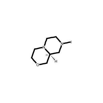 IN1CCN2CCOC[C@@H]2C1